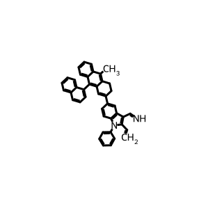 C=Cc1c(C=N)c2cc(C3=Cc4c(c(C)c5ccccc5c4-c4cccc5ccccc45)CC3)ccc2n1-c1ccccc1